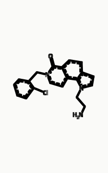 NCCn1ccc2ccc3c(=O)n(Cc4ccccc4Cl)ccc3c21